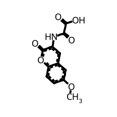 COc1ccc2oc(=O)c(NC(=O)C(=O)O)cc2c1